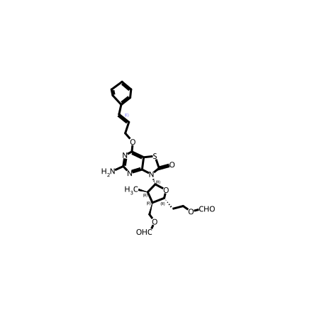 C[C@@H]1[C@H](COC=O)[C@@H](CCOC=O)O[C@H]1n1c(=O)sc2c(OC/C=C/c3ccccc3)nc(N)nc21